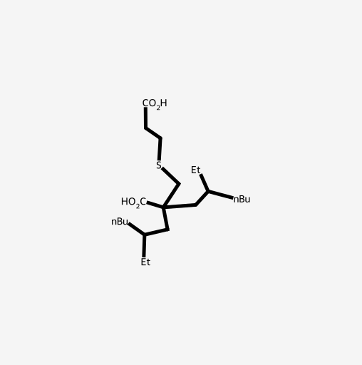 CCCCC(CC)CC(CSCCC(=O)O)(CC(CC)CCCC)C(=O)O